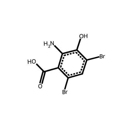 Nc1c(O)c(Br)cc(Br)c1C(=O)O